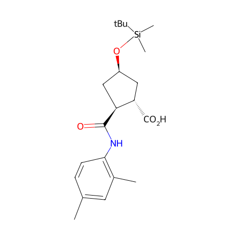 Cc1ccc(NC(=O)[C@H]2C[C@@H](O[Si](C)(C)C(C)(C)C)C[C@@H]2C(=O)O)c(C)c1